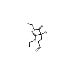 CCOC(=O)C(Br)(CCC=O)C(=O)OCC